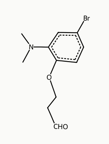 CN(C)c1cc(Br)ccc1OCCC=O